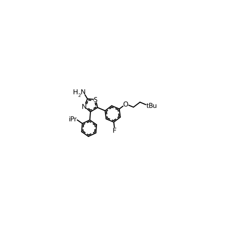 CC(C)c1ccccc1-c1nc(N)sc1-c1cc(F)cc(OCCC(C)(C)C)c1